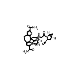 C[C@H](CC1(c2nn[nH]n2)c2sc(C(N)=O)cc2CCc2cc(C(N)=O)sc21)NCC(=O)N1[C@H](C#N)C[C@@H]2C[C@@H]21